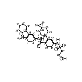 CN1c2ccc(NC(=O)c3ccc(NS(=O)(=O)CCO)cc3N3CCC4(CC3)CC4)cc2C2CCCCC21